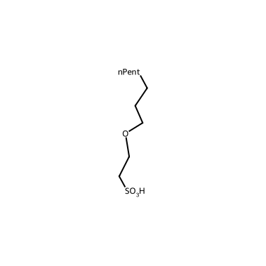 CCCCCCCCOCCS(=O)(=O)O